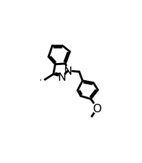 [CH2]c1nn(Cc2ccc(OC)cc2)c2ccccc12